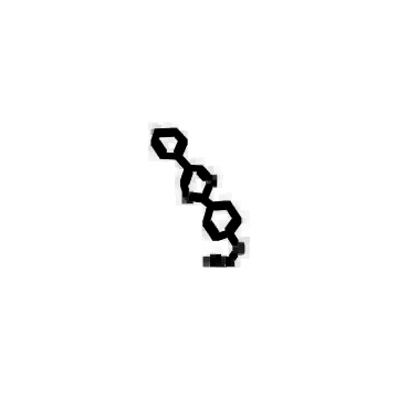 CCCCCCOc1ccc(-c2ncc(-c3cc[c]cc3)cn2)cc1